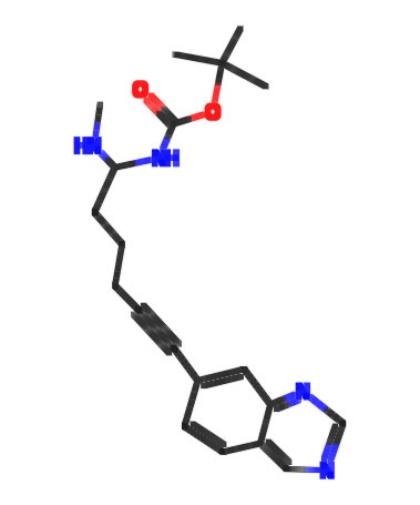 CNC(CCCC#Cc1ccc2cncnc2c1)NC(=O)OC(C)(C)C